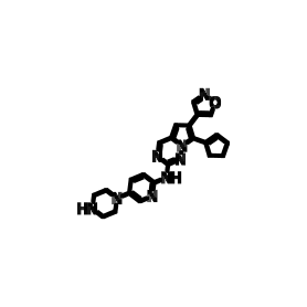 C1=C(c2c(-c3cnoc3)cc3cnc(Nc4ccc(N5CCNCC5)cn4)nn23)CCC1